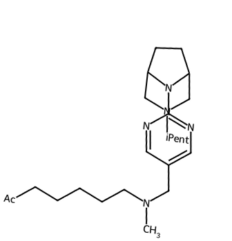 CCCC(C)N1CC2CCC(C1)N2c1ncc(CN(C)CCCCCC(C)=O)cn1